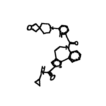 O=C(NC1CC1)c1cc2c(s1)-c1ccccc1N(C(=O)c1cccc(N3CCC4(CC3)COC4)n1)CC2